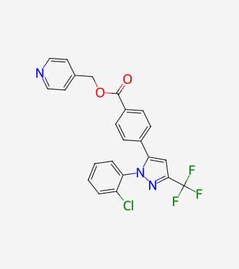 O=C(OCc1ccncc1)c1ccc(-c2cc(C(F)(F)F)nn2-c2ccccc2Cl)cc1